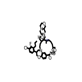 CCCc1c(C2COc3ccc4cc3N(CCC(CC)[C@](O)(CN3CCN5CCOCC5C3)/C(C)=C/CCC(C)S(=O)(=O)NC4=O)C2)ccc(Cl)c1F